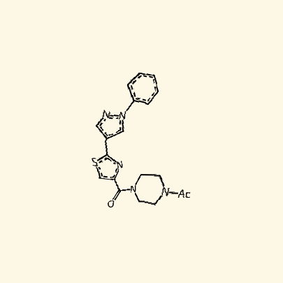 CC(=O)N1CCN(C(=O)c2csc(-c3cnn(-c4ccccc4)c3)n2)CC1